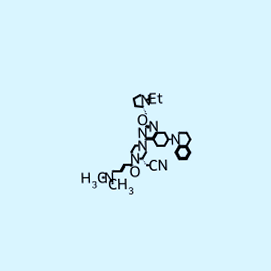 CCN1CCC[C@H]1COc1nc2c(c(N3CCN(C(=O)/C=C/CN(C)C)[C@@H](CC#N)C3)n1)CC[C@H](N1CCCc3ccccc31)C2